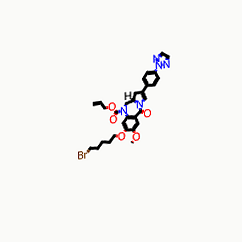 C=CCOC(=O)N1C[C@@H]2CC(c3ccc(-n4nccn4)cc3)=CN2C(=O)c2cc(OC)c(OCCCCCBr)cc21